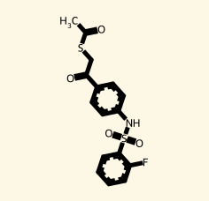 CC(=O)SCC(=O)c1ccc(NS(=O)(=O)c2ccccc2F)cc1